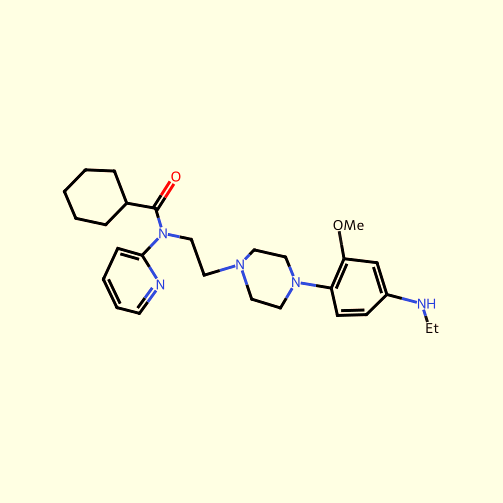 CCNc1ccc(N2CCN(CCN(C(=O)C3CCCCC3)c3ccccn3)CC2)c(OC)c1